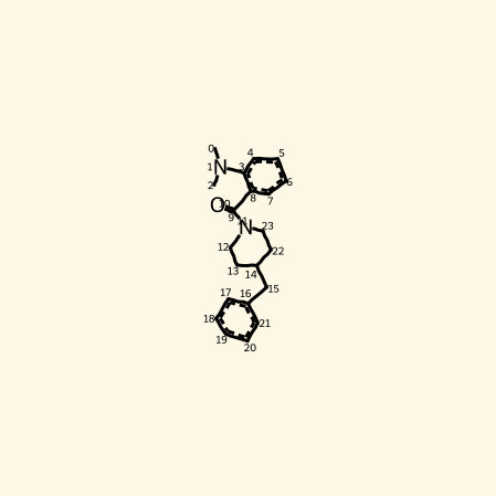 CN(C)c1ccccc1C(=O)N1CCC(Cc2ccccc2)CC1